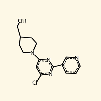 OCC1CCN(c2cc(Cl)nc(-c3cccnc3)n2)CC1